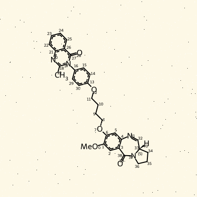 COc1cc2c(cc1OCCCCOc1ccc(-n3c(C)nc4ccccc4c3=O)cc1)N=C[C@@H]1CCCN1C2=O